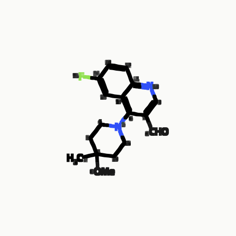 COC1(C)CCN(c2c(C=O)cnc3ccc(F)cc23)CC1